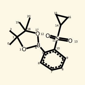 CC1(C)OB(c2ccccc2S(=O)(=O)C2CC2)OC1(C)C